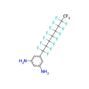 Nc1cc(N)cc(C(F)(F)C(F)(F)C(F)(F)C(F)(F)C(F)(F)C(F)(F)C(F)(F)C(F)(F)F)c1